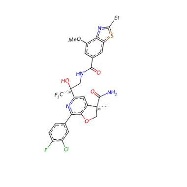 CCc1nc2c(OC)cc(C(=O)NC[C@](O)(c3cc4c(c(-c5ccc(F)c(Cl)c5)n3)OC[C@]4(C)C(N)=O)C(F)(F)F)cc2s1